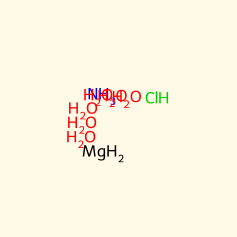 Cl.N.O.O.O.O.O.O.[MgH2]